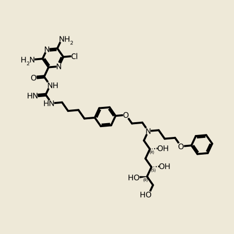 N=C(NCCCCc1ccc(OCCN(CCCOc2ccccc2)C[C@H](O)C[C@H](O)[C@H](O)CO)cc1)NC(=O)c1nc(Cl)c(N)nc1N